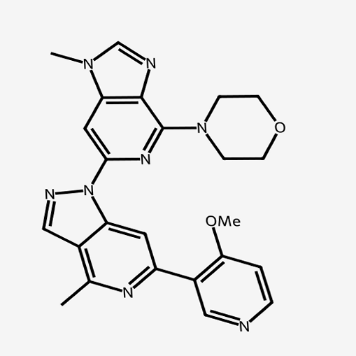 COc1ccncc1-c1cc2c(cnn2-c2cc3c(ncn3C)c(N3CCOCC3)n2)c(C)n1